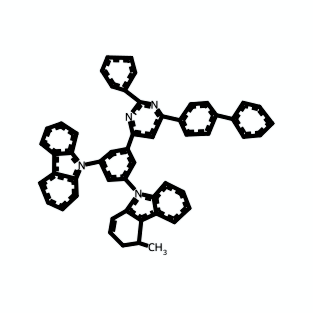 CC1CC=Cc2c1c1ccccc1n2-c1cc(-c2cc(-c3ccc(-c4ccccc4)cc3)nc(-c3ccccc3)n2)cc(-n2c3ccccc3c3ccccc32)c1